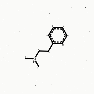 C[SiH](C)CCc1ccccc1